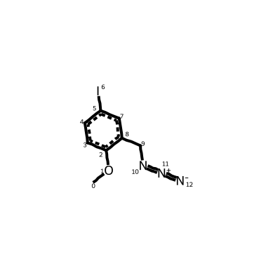 COc1ccc(I)cc1CN=[N+]=[N-]